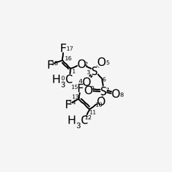 CC(OS(=O)(=O)CS(=O)(=O)OC(C)=C(F)F)=C(F)F